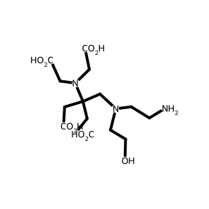 NCCN(CCO)CC(CC(=O)O)(CC(=O)O)N(CC(=O)O)CC(=O)O